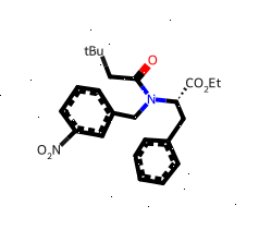 CCOC(=O)[C@H](Cc1ccccc1)N(Cc1cccc([N+](=O)[O-])c1)C(=O)CC(C)(C)C